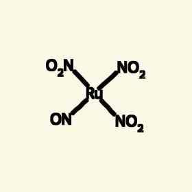 O=[N][Ru]([N+](=O)[O-])([N+](=O)[O-])[N+](=O)[O-]